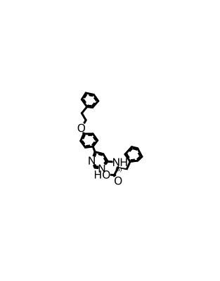 O=C(O)[C@H](Cc1ccccc1)Nc1cc(-c2ccc(OCCc3ccccc3)cc2)ncn1